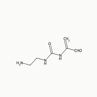 C=C(C=O)NC(=O)NCCN